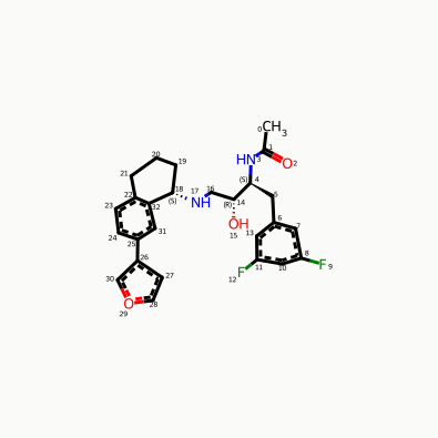 CC(=O)N[C@@H](Cc1cc(F)cc(F)c1)[C@H](O)CN[C@H]1CCCc2ccc(-c3ccoc3)cc21